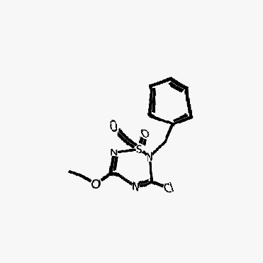 COC1=NS(=O)(=O)N(Cc2ccccc2)C(Cl)=N1